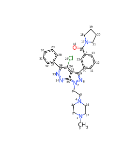 CN1CCN(CCn2nc(-c3cccc(C(=O)N4CCCC4)c3)c3c(Cl)c(-c4ccccc4)nnc32)CC1